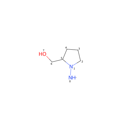 [NH]N1CCCC1CO